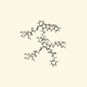 CC(C)(C)OC(=O)NCC#Cc1cccc2c1nc(CNC(=O)OCc1ccccc1)n2COCC[Si](C)(C)C.CC(C)(C)OC(=O)NCC#Cc1cccc2nc(CN(Cc3ccccc3)C(=O)O)n(COCC[Si](C)(C)C)c12